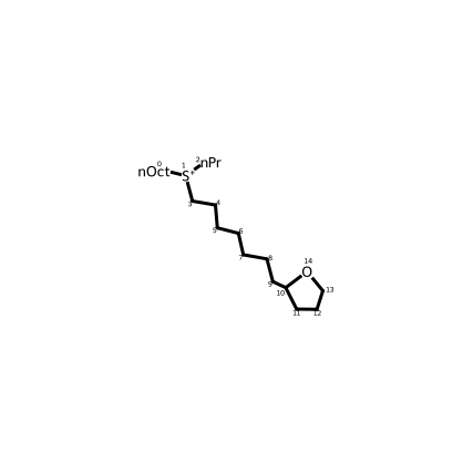 CCCCCCCC[S+](CCC)CCCCCCCC1CCCO1